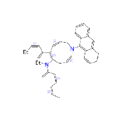 C=C(/C=C\CC)C1=C(\N(CC)C(=C)/C=C\C=C/C)C/C=C\N(c2c3c(cc4ccccc24)CCC=C3)C/C=C\1